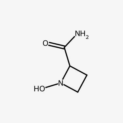 NC(=O)C1CCN1O